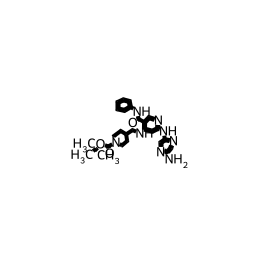 CC(C)(C)OC(=O)N1CCC(CNc2cc(Nc3cnc(N)cn3)ncc2C(=O)Nc2ccccc2)CC1